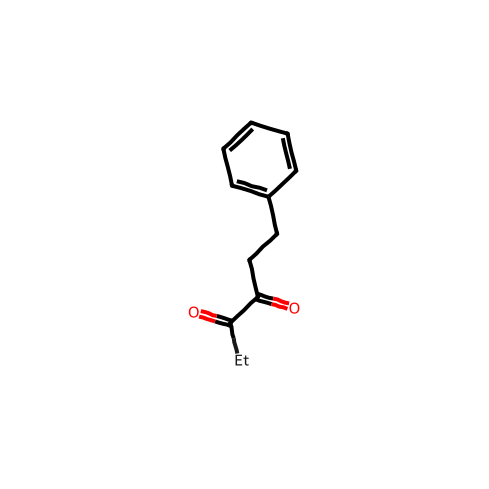 CCC(=O)C(=O)CCc1ccccc1